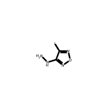 NNc1nonc1I